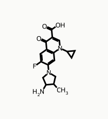 CC1CN(c2cc3c(cc2F)c(=O)c(C(=O)O)cn3C2CC2)CC1N